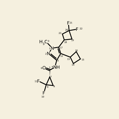 Cn1nc(NC(=O)[C@@H]2CC2(F)F)c(C2CCC2)c1C1CC(F)(F)C1